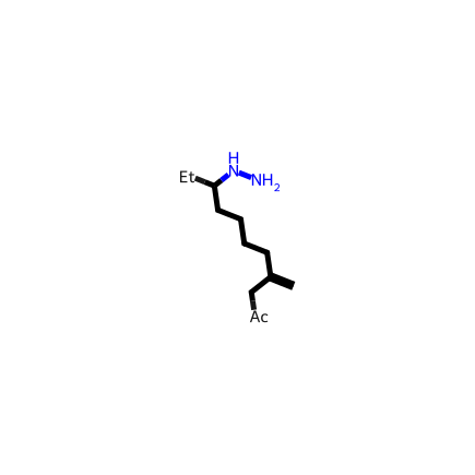 C=C(CCCCC(CC)NN)CC(C)=O